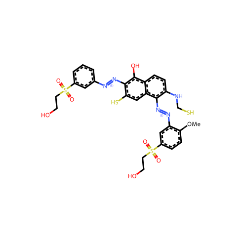 COc1ccc(S(=O)(=O)CCO)cc1/N=N/c1c(NCS)ccc2c(O)c(/N=N/c3cccc(S(=O)(=O)CCO)c3)c(S)cc12